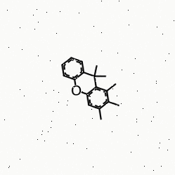 Cc1cc2c(c(C)c1C)C(C)(C)c1ccccc1O2